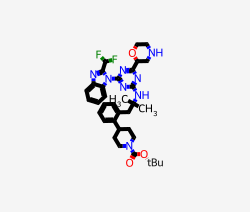 CC(C)(Cc1ccccc1C1CCN(C(=O)OC(C)(C)C)CC1)Nc1nc(C2CNCCO2)nc(-n2c(C(F)F)nc3ccccc32)n1